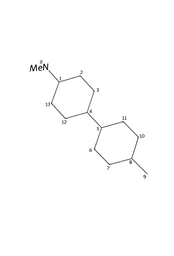 CNC1CCC(C2CCC(C)CC2)CC1